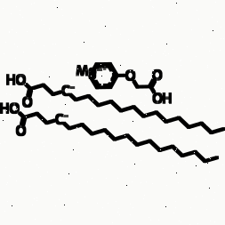 CCCCCCCCCCCCCC[CH-]CCC(=O)O.CCCCCCCCCCCCCC[CH-]CCC(=O)O.O=C(O)COc1ccccc1.[Mg+2]